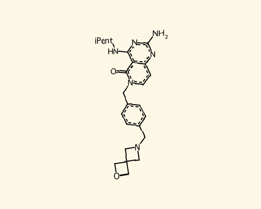 CCCC(C)Nc1nc(N)nc2ccn(Cc3ccc(CN4CC5(COC5)C4)cc3)c(=O)c12